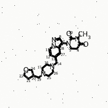 CN1C(=O)CCN(c2cnn3ccc(CN4CCN(CC5CCOC5)CC4)cc23)C1=O